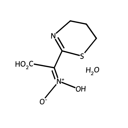 O.O=C(O)C(C1=NCCCS1)=[N+]([O-])O